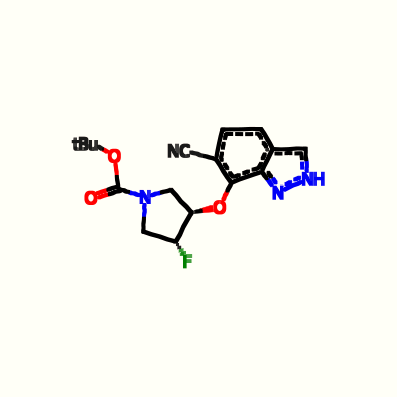 CC(C)(C)OC(=O)N1C[C@@H](F)[C@H](Oc2c(C#N)ccc3c[nH]nc23)C1